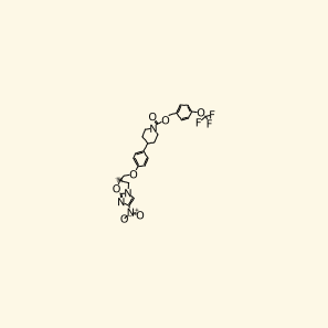 C[C@]1(COc2ccc(C3CCN(C(=O)OCc4ccc(OC(F)(F)F)cc4)CC3)cc2)Cn2cc([N+](=O)[O-])nc2O1